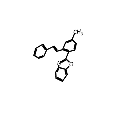 Cc1ccc(-c2nc3ccccc3o2)c(C=Cc2ccccc2)c1